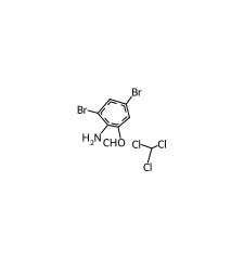 ClC(Cl)Cl.Nc1c(Br)cc(Br)cc1C=O